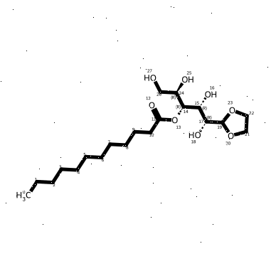 CCCCCCCCCCCC(=O)O[C@@H]([C@H](O)[C@@H](O)C1OCCO1)[C@H](O)CO